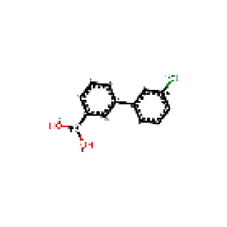 OB(O)c1cccc(-c2cccc(Cl)c2)c1